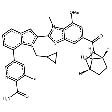 COc1cc(C(=O)N2C[C@H]3CC[C@@H]2[C@@H]3N)cc2nc(-c3cc4cccc(-c5cnc(C(N)=O)c(F)c5)c4n3CC3CC3)n(C)c12